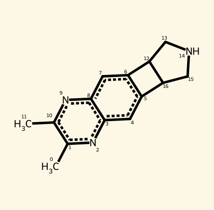 Cc1nc2cc3c(cc2nc1C)C1CNCC31